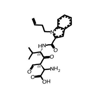 C=CCCn1c(C(=O)N[C@H](C(=O)[C@H](C=O)C(N)C(=O)O)C(C)C)cc2ccccc21